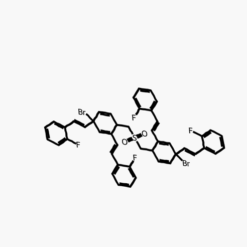 O=S(=O)(CC1C=CC(Br)(/C=C/c2ccccc2F)C=C1/C=C/c1ccccc1F)CC1C=CC(Br)(/C=C/c2ccccc2F)C=C1/C=C/c1ccccc1F